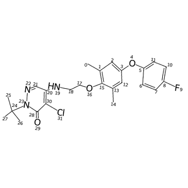 Cc1cc(Oc2ccc(F)cc2)cc(C)c1OCCNc1cnn(C(C)(C)C)c(=O)c1Cl